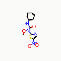 CON(C(=O)N(C)c1ccccc1)c1ncc([N+](=O)[O-])s1